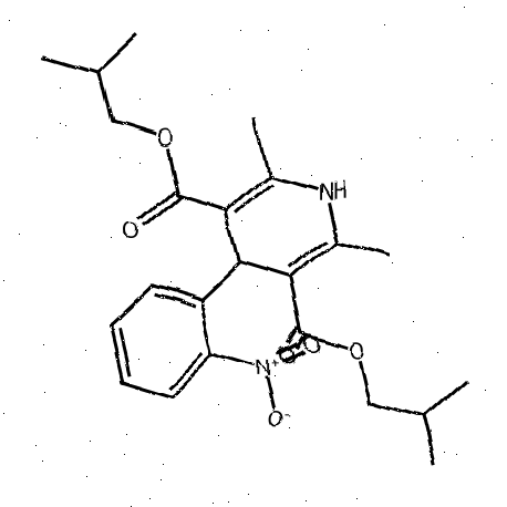 CC1=C(C(=O)OCC(C)C)C(c2ccccc2[N+](=O)[O-])C(C(=O)OCC(C)C)=C(C)N1